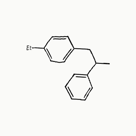 CCc1ccc(CC(C)c2ccccc2)cc1